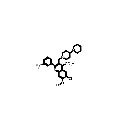 CCOc1cc2nc(-c3cccc(C(F)(F)F)c3)c(CN3CCC(N4CCCCC4)CC3)c(C(=O)O)c2cc1Cl